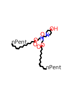 CCCCC/C=C\C/C=C\CCCCCCCC(=O)OCCN(CCOC(=O)CCCCCCC/C=C\C/C=C\CCCCC)C(=O)CN1CCC(O)CC1